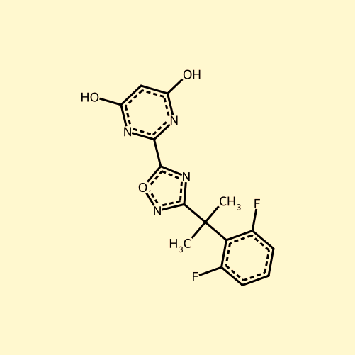 CC(C)(c1noc(-c2nc(O)cc(O)n2)n1)c1c(F)cccc1F